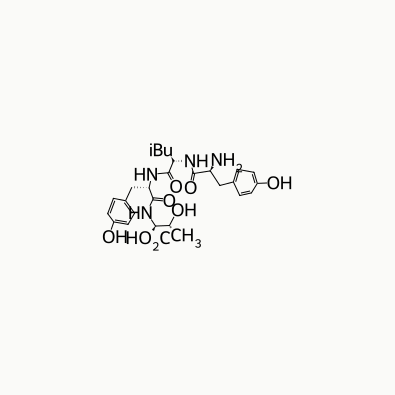 CC[C@H](C)[C@H](NC(=O)[C@@H](N)Cc1ccc(O)cc1)C(=O)N[C@@H](Cc1ccc(O)cc1)C(=O)N[C@H](C(=O)O)[C@@H](C)O